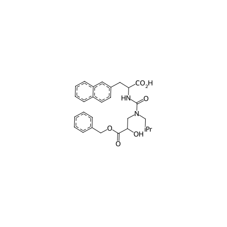 CC(C)CN(CC(O)C(=O)OCc1ccccc1)C(=O)NC(Cc1ccc2ccccc2c1)C(=O)O